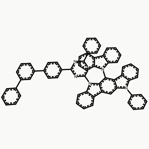 c1ccc(-c2cccc(-c3ccc(-c4nc(-c5ccccc5)nc(-n5c6ccccc6c6cc7c(c(-n8c9ccccc9c9ccccc98)c65)c5ccccc5n7-c5ccccc5)n4)cc3)c2)cc1